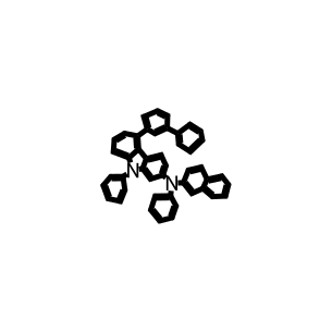 c1ccc(-c2cccc(-c3cccc4c3c3ccc(N(c5ccccc5)c5ccc6ccccc6c5)cc3n4-c3ccccc3)c2)cc1